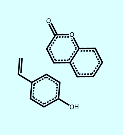 C=Cc1ccc(O)cc1.O=c1ccc2ccccc2o1